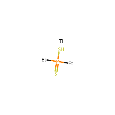 CCP(=S)(S)CC.[Ti]